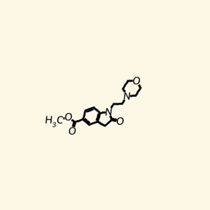 COC(=O)c1ccc2c(c1)CC(=O)N2CCN1CCOCC1